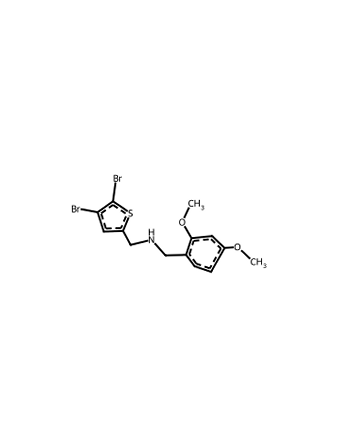 COc1ccc(CNCc2cc(Br)c(Br)s2)c(OC)c1